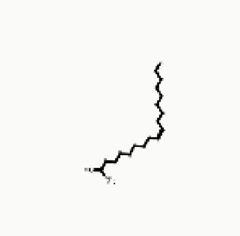 CCCCCCCC/C=C\CCCCCCCC(=O)P